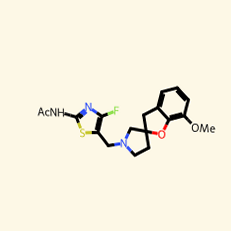 COc1cccc2c1OC1(CCN(Cc3sc(NC(C)=O)nc3F)C1)C2